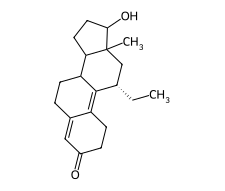 CC[C@H]1CC2(C)C(O)CCC2C2CCC3=CC(=O)CCC3=C21